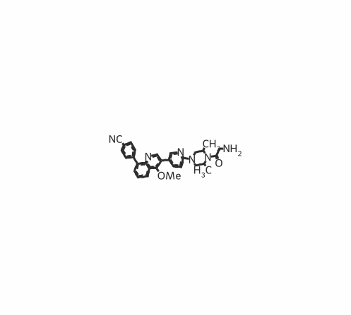 COc1c(-c2ccc(N3CC(C)N(C(=O)CN)C(C)C3)nc2)cnc2c(-c3ccc(C#N)cc3)cccc12